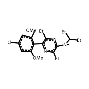 CCc1nc(-c2c(OC)cc(Cl)cc2OC)c(CC)nc1NC(CC)CC